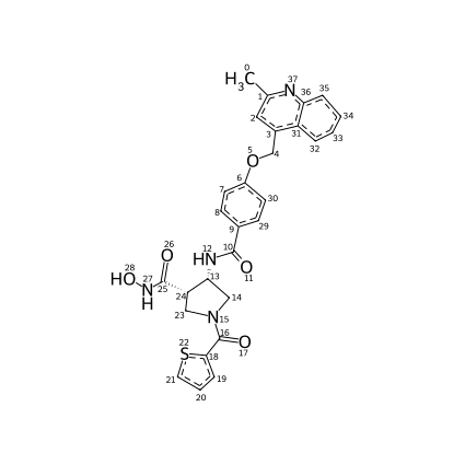 Cc1cc(COc2ccc(C(=O)N[C@@H]3CN(C(=O)c4cccs4)C[C@@H]3C(=O)NO)cc2)c2ccccc2n1